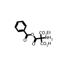 CCOC(=O)C(N)(C(=O)O)C(=O)OC(=O)c1ccccc1